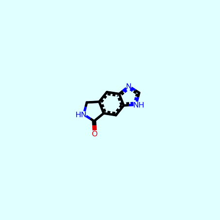 O=C1NCc2cc3nc[nH]c3cc21